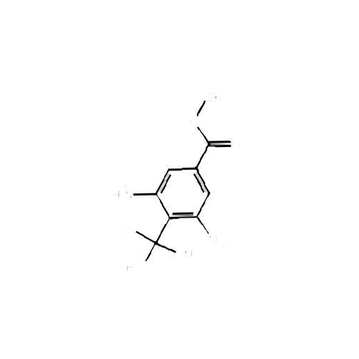 CCC(C)OC(=O)c1cc(N)c(C(C)(C)CC)c(N)c1